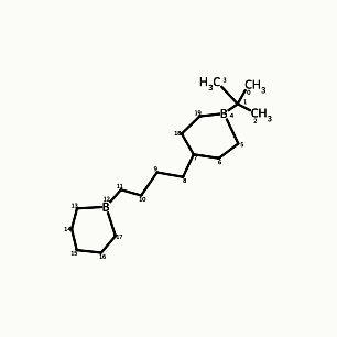 CC(C)(C)B1CCC(CCCCB2CCCCC2)CC1